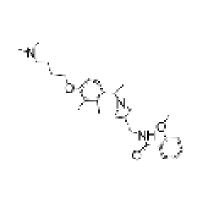 COc1ccccc1C(=O)NCC1CN(C(C)c2ccc(OCCCCN(C)C)c(C)c2C)C1